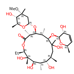 CC[C@H]1OC(=O)[C@H](C)[C@@H](O[C@H]2C[C@@](C)(OC)[C@@H](O)[C@H](C)O2)[C@H](C)[C@@H](O[C@@H]2O[C@H](C)C=C[C@H]2O)C(C)(O)C[C@@H](C)[C@H](O)[C@H](C)[C@@H](O)[C@]1(C)O